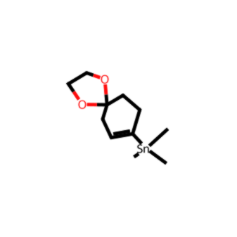 [CH3][Sn]([CH3])([CH3])[C]1=CCC2(CC1)OCCO2